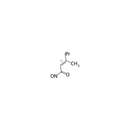 C/C(=C\C(=O)N=O)C(C)C